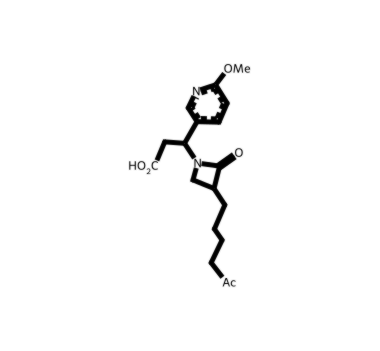 COc1ccc(C(CC(=O)O)N2CC(CCCCC(C)=O)C2=O)cn1